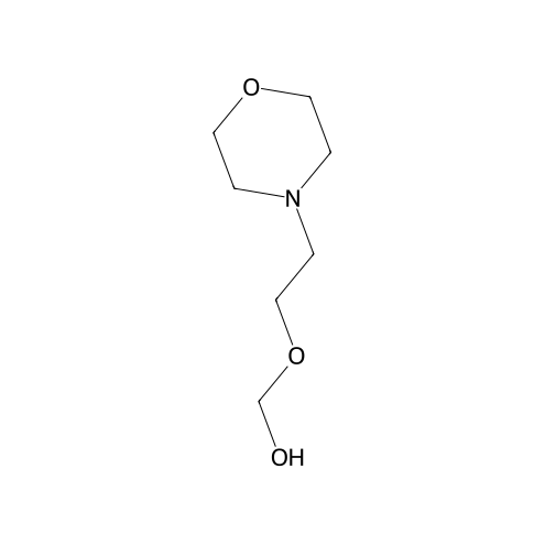 OCOCCN1CCOCC1